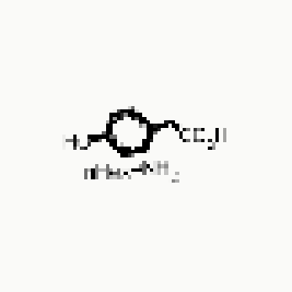 CCCCCCN.O=C(O)Cc1ccc(O)cc1